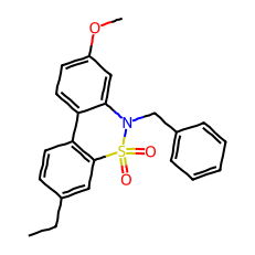 CCc1ccc2c(c1)S(=O)(=O)N(Cc1ccccc1)c1cc(OC)ccc1-2